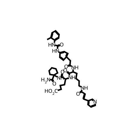 Cc1ccccc1NC(=O)Nc1ccc(CC(=O)NC(CCCCNC(=O)C=Cc2cccnc2)C(=O)NC(CCCC(=O)O)C(=O)NC2(C(N)=O)CCCCC2)cc1